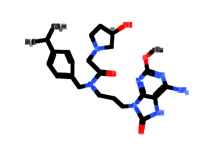 CCCCOc1nc(N)c2[nH]c(=O)n(CCCN(Cc3ccc(C(C)C(=O)O)cc3)C(=O)CN3CC[C@@H](O)C3)c2n1